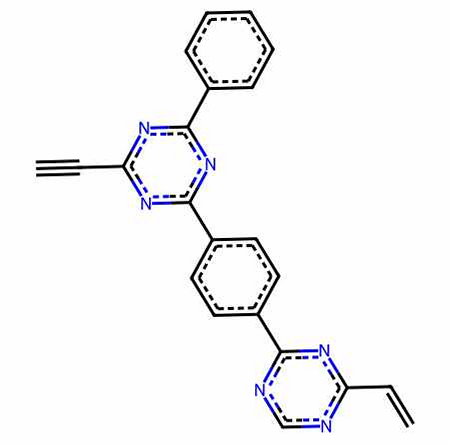 C#Cc1nc(-c2ccccc2)nc(-c2ccc(-c3ncnc(C=C)n3)cc2)n1